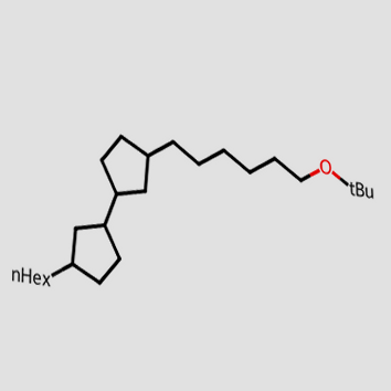 CCCCCCC1CCC(C2CCC(CCCCCCOC(C)(C)C)C2)C1